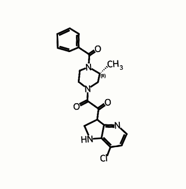 C[C@@H]1CN(C(=O)C(=O)C2CNc3c(Cl)ccnc32)CCN1C(=O)c1ccccc1